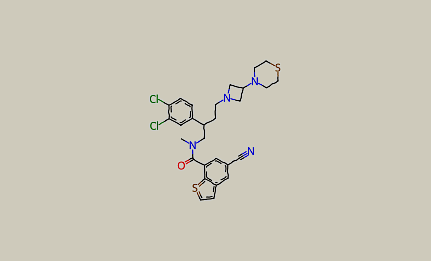 CN(CC(CCN1CC(N2CCSCC2)C1)c1ccc(Cl)c(Cl)c1)C(=O)c1cc(C#N)cc2ccsc12